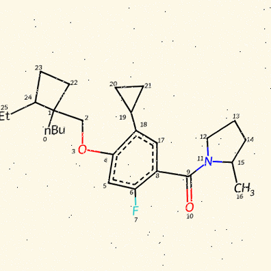 CCCCC1(COc2cc(F)c(C(=O)N3CCCC3C)cc2C2CC2)CCC1CC